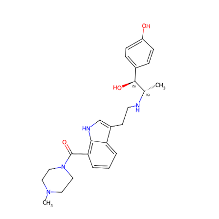 C[C@H](NCCc1c[nH]c2c(C(=O)N3CCN(C)CC3)cccc12)[C@@H](O)c1ccc(O)cc1